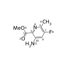 COC(=O)c1nc(C)c(F)cc1N